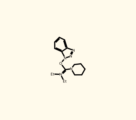 CC[N+](CC)=C(On1nnc2ccccc21)N1CCCCC1